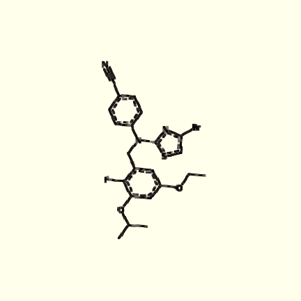 CCOc1cc(CN(c2ccc(C#N)cc2)c2nc(Br)cs2)c(F)c(OC(C)C)c1